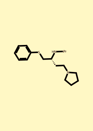 CC(C)N[C@H](CCN1CCCC1)CSc1ccccc1